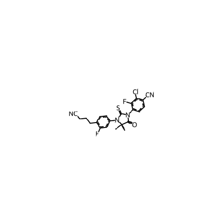 CC1(C)C(=O)N(c2ccc(C#N)c(Cl)c2F)C(=S)N1c1ccc(CCCC#N)c(F)c1